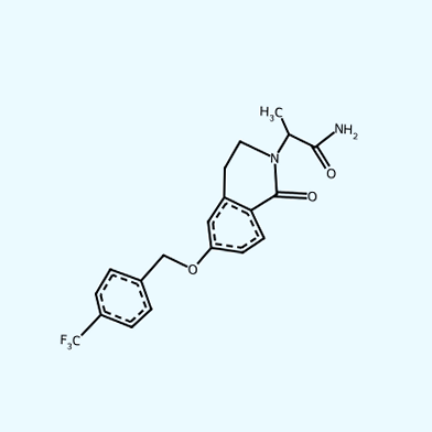 CC(C(N)=O)N1CCc2cc(OCc3ccc(C(F)(F)F)cc3)ccc2C1=O